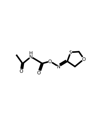 CC(=O)NC(=O)ON=C1COCS1